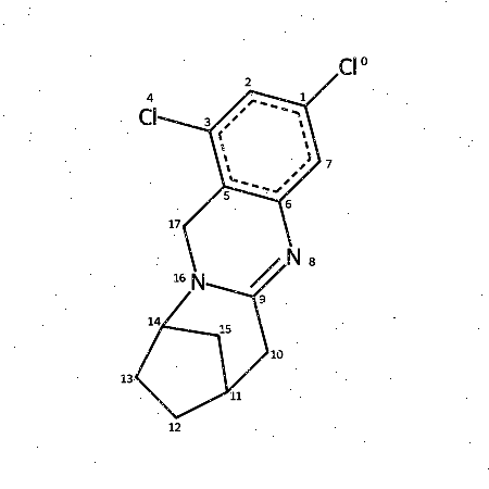 Clc1cc(Cl)c2c(c1)N=C1CC3CCC(C3)N1C2